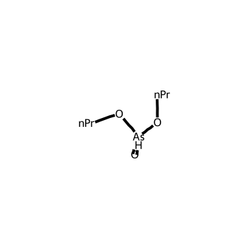 CCCO[AsH](=O)OCCC